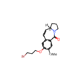 COc1cc2c(cc1OCCCBr)C=C[C@@H]1CCCN1C2=O